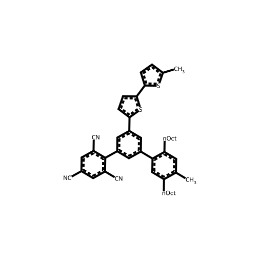 CCCCCCCCc1cc(-c2cc(-c3ccc(-c4ccc(C)s4)s3)cc(-c3c(C#N)cc(C#N)cc3C#N)c2)c(CCCCCCCC)cc1C